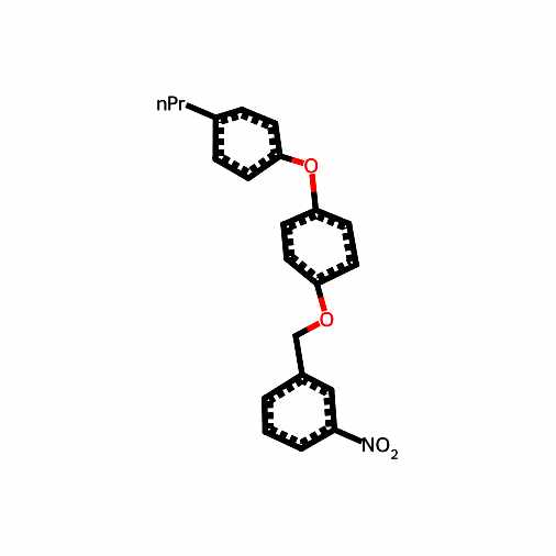 CCCc1ccc(Oc2ccc(OCc3cccc([N+](=O)[O-])c3)cc2)cc1